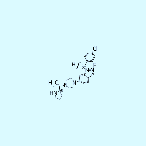 C=C([C@H]1CCCN1)N1CCN(c2ccc3cnn([C@H](C)c4ccc(Cl)cc4F)c3c2)CC1